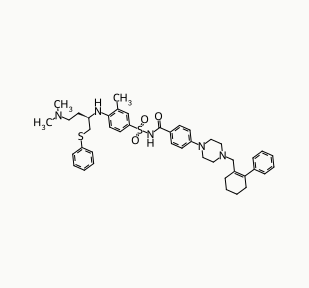 Cc1cc(S(=O)(=O)NC(=O)c2ccc(N3CCN(CC4=C(c5ccccc5)CCCC4)CC3)cc2)ccc1N[C@H](CCN(C)C)CSc1ccccc1